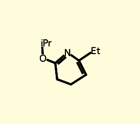 CCC1=CCCC(OC(C)C)=N1